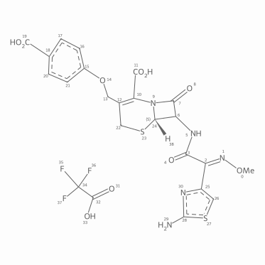 CON=C(C(=O)NC1C(=O)N2C(C(=O)O)=C(COc3ccc(C(=O)O)cc3)CS[C@@H]12)c1csc(N)n1.O=C(O)C(F)(F)F